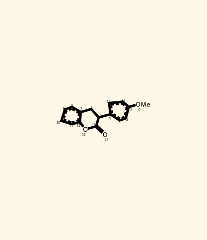 COc1ccc(C2Cc3ccccc3OC2=O)cc1